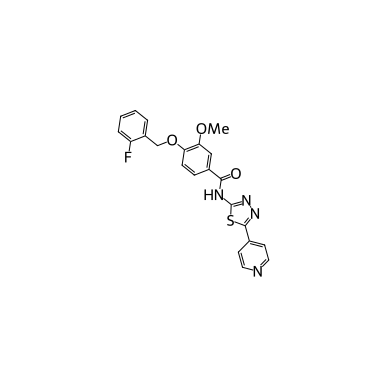 COc1cc(C(=O)Nc2nnc(-c3ccncc3)s2)ccc1OCc1ccccc1F